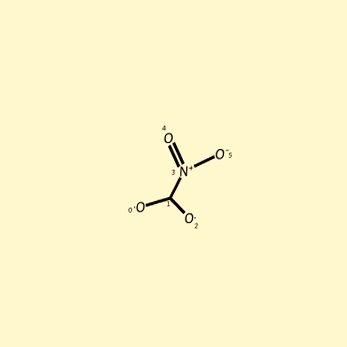 [O]C([O])[N+](=O)[O-]